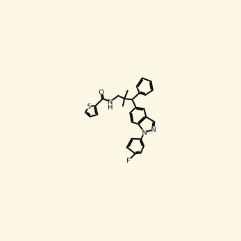 CC(C)(CNC(=O)c1cccs1)C(c1ccccc1)c1ccc2c(cnn2-c2ccc(F)cc2)c1